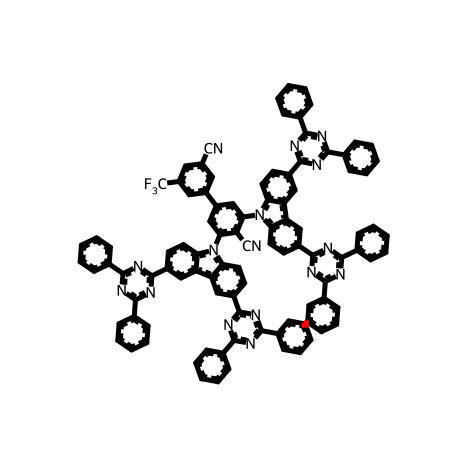 N#Cc1cc(-c2cc(-n3c4ccc(-c5nc(-c6ccccc6)nc(-c6ccccc6)n5)cc4c4cc(-c5nc(-c6ccccc6)nc(-c6ccccc6)n5)ccc43)c(C#N)c(-n3c4ccc(-c5nc(-c6ccccc6)nc(-c6ccccc6)n5)cc4c4cc(-c5nc(-c6ccccc6)nc(-c6ccccc6)n5)ccc43)c2)cc(C(F)(F)F)c1